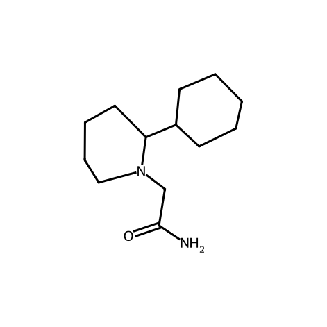 NC(=O)CN1CCCCC1C1CCCCC1